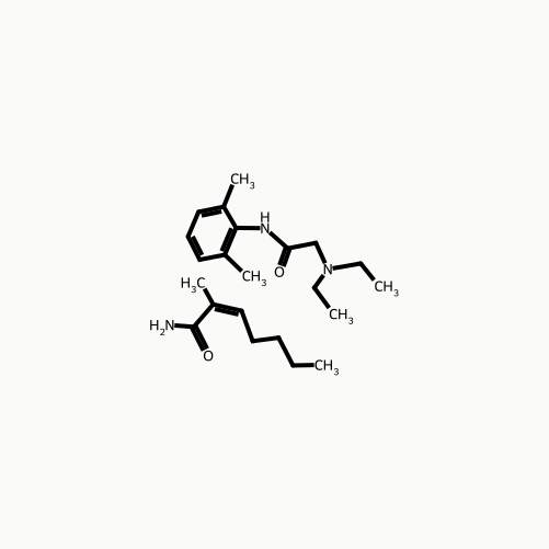 CCCCC=C(C)C(N)=O.CCN(CC)CC(=O)Nc1c(C)cccc1C